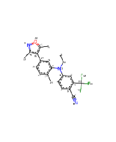 CCN(c1ccc(C#N)c(C(F)(F)F)c1)c1cc(-c2c(C)noc2C)ccc1C